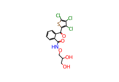 O=C(NOCC(O)CO)c1ccccc1C(=O)c1sc(Cl)c(Cl)c1Cl